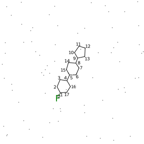 FC1CCC(C2CCC(C3CCCC3)CC2)CC1